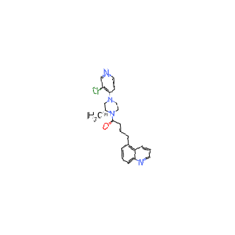 C[C@@H]1CN(c2ccncc2Cl)CCN1C(=O)CCCc1cccc2ncccc12